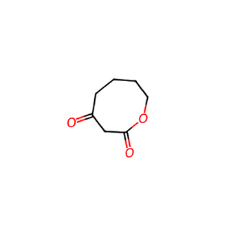 O=C1CCCCOC(=O)C1